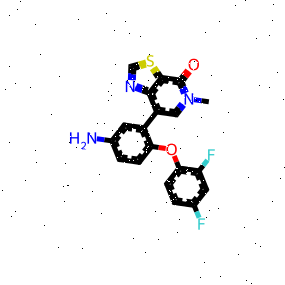 Cn1cc(-c2cc(N)ccc2Oc2ccc(F)cc2F)c2ncsc2c1=O